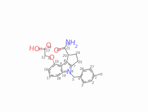 Cc1ccc(Cn2c3c(c4c(OCC(=O)O)cccc42)C(C(N)=O)CC3)cc1